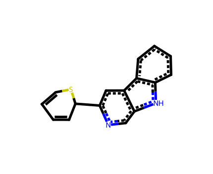 C1=CSC(c2cc3c(cn2)[nH]c2ccccc23)C=C1